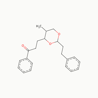 CC1COC(CCc2ccccc2)OC1CCC(=O)c1ccccc1